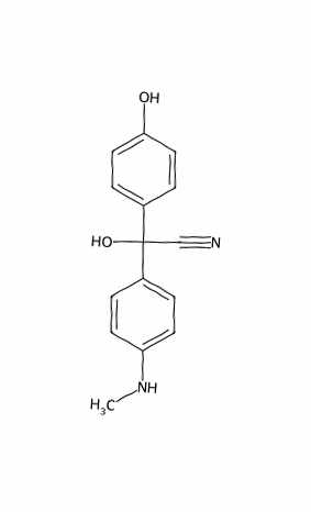 CNc1ccc(C(O)(C#N)c2ccc(O)cc2)cc1